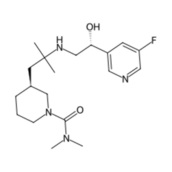 CN(C)C(=O)N1CCC[C@@H](CC(C)(C)NC[C@H](O)c2cncc(F)c2)C1